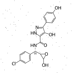 O=C(N[C@@H](c1ccc(Cl)cc1)C1OC1O)c1[nH]nc(-c2ccc(O)cc2)c1O